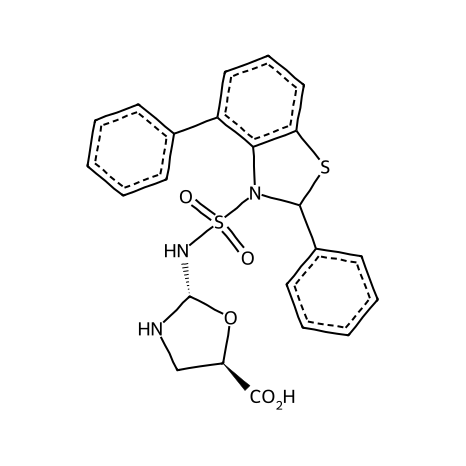 O=C(O)[C@H]1CN[C@H](NS(=O)(=O)N2c3c(cccc3-c3ccccc3)SC2c2ccccc2)O1